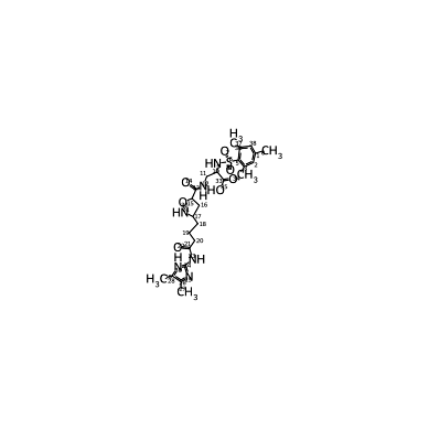 Cc1cc(C)c(S(=O)(=O)NC(CNC(=O)C2CC(CCCC(=O)Nc3nc(C)c(C)[nH]3)NO2)C(=O)O)c(C)c1